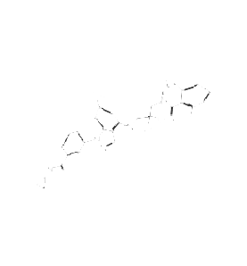 CCN(CC(O)(CNc1cc(C)cc2c1cnn2-c1cccc(C(=O)NC2CC2)c1)C(F)(F)F)C(=O)c1c(Cl)cccc1Cl